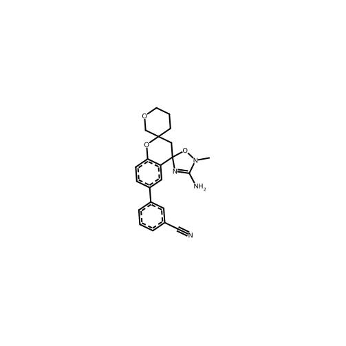 CN1OC2(CC3(CCCOC3)Oc3ccc(-c4cccc(C#N)c4)cc32)N=C1N